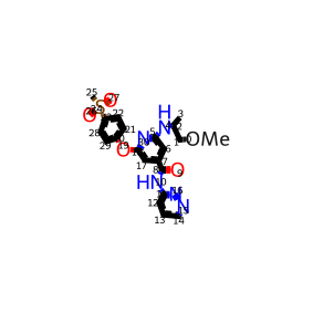 COCC(C)Nc1cc(C(=O)Nc2cccnn2)cc(Oc2ccc(S(C)(=O)=O)cc2)n1